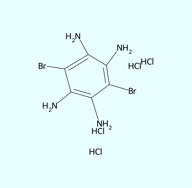 Cl.Cl.Cl.Cl.Nc1c(N)c(Br)c(N)c(N)c1Br